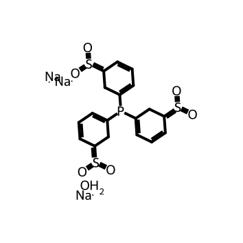 O.O=S(=O)=C1C=CC=C(P(C2=CC=CC(=S(=O)=O)C2)C2=CC=CC(=S(=O)=O)C2)C1.[Na].[Na].[Na]